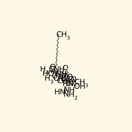 CCCCCCCCCCCCCCCC(=O)N[C@H](C(=O)N[C@H](C(=O)N[C@@H](Cc1ccccc1)C(=O)N[C@@H](CCCNC(=N)N)C(=O)N[C@@H](CO)C(C)=O)C(C)C)[C@@H](C)O